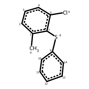 Cc1cccc(Cl)c1Sc1ccccc1